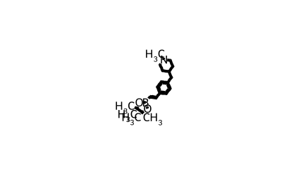 CN1CCC(Cc2ccc(C=CB3OC(C)(C)C(C)(C)O3)cc2)CC1